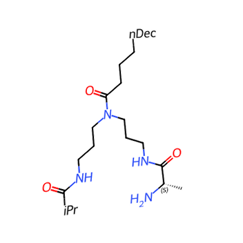 CCCCCCCCCCCCCC(=O)N(CCCNC(=O)C(C)C)CCCNC(=O)[C@H](C)N